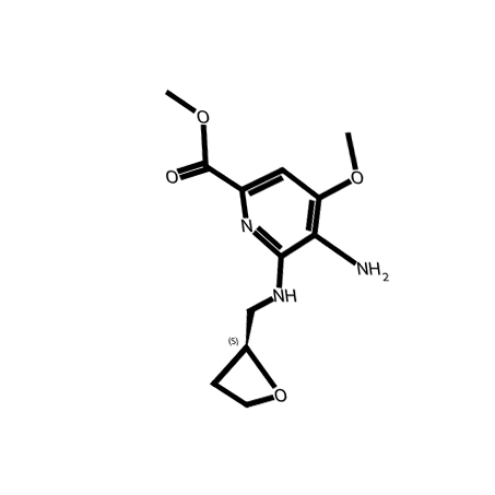 COC(=O)c1cc(OC)c(N)c(NC[C@@H]2CCO2)n1